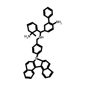 CC1(N)CC=CC=C1C(NCc1ccc(-n2c3ccc4ccccc4c3c3c4ccccc4ccc32)cc1)C1C=CC(N)=C(c2ccccc2)C1